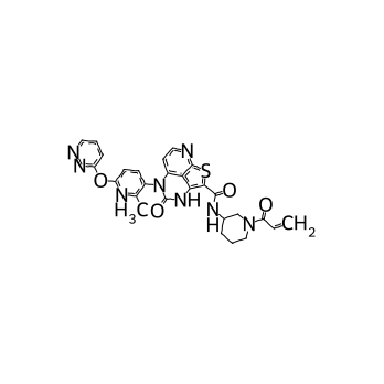 C=CC(=O)N1CCCC(NC(=O)c2sc3nccc4c3c2NC(=O)N4c2ccc(Oc3cccnn3)nc2C)C1